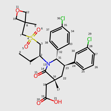 CC[C@@H](CS(=O)(=O)CC1(C)COC1)N1C(=O)[C@@](C)(CC(=O)O)C[C@H](c2cccc(Cl)c2)[C@H]1c1ccc(Cl)cc1